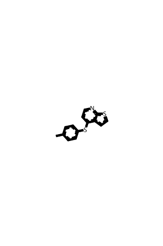 Cc1ccc(Sc2ccnc3sccc23)cc1